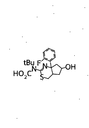 CC(C)(C)N(C(=O)O)C1=NC2(c3ccccc3F)CC(O)CC2CS1